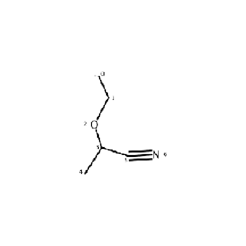 [CH2]COC(C)C#N